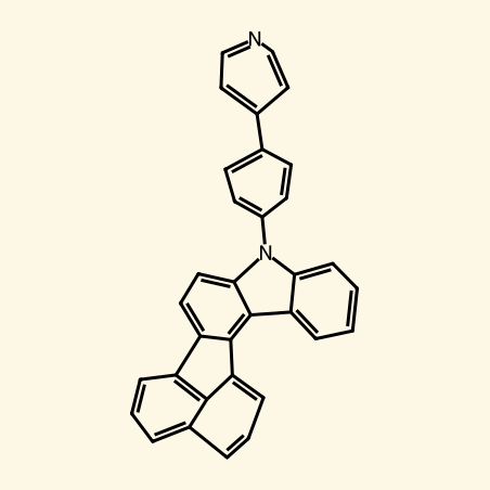 c1cc2c3c(cccc3c1)-c1c-2ccc2c1c1ccccc1n2-c1ccc(-c2ccncc2)cc1